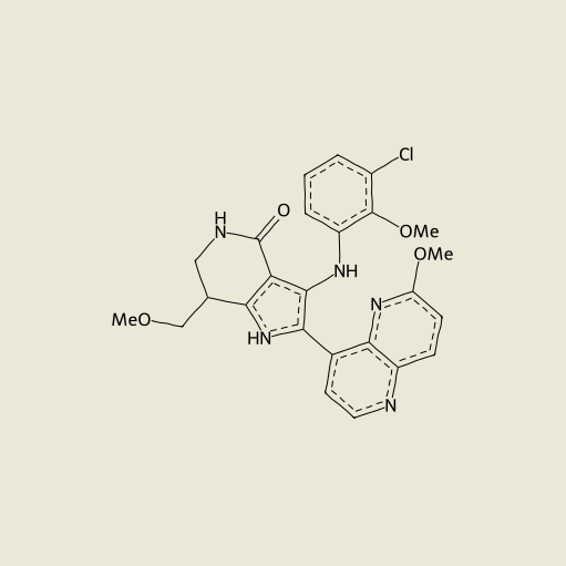 COCC1CNC(=O)c2c1[nH]c(-c1ccnc3ccc(OC)nc13)c2Nc1cccc(Cl)c1OC